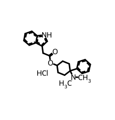 CN(C)C1(c2ccccc2)CCC(OC(=O)Cc2c[nH]c3ccccc23)CC1.Cl